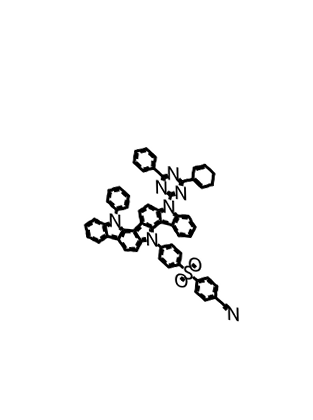 N#Cc1ccc(S(=O)(=O)c2ccc(-n3c4ccc5c6ccccc6n(-c6ccccc6)c5c4c4ccc5c(c6ccccc6n5-c5nc(C6=CCCC=C6)nc(-c6ccccc6)n5)c43)cc2)cc1